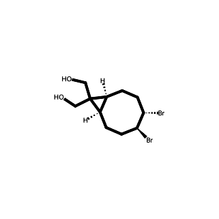 OCC1(CO)[C@@H]2CC[C@H](Br)[C@@H](Br)CC[C@@H]21